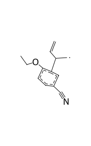 [CH2]C(C=C)c1cc(C#N)ccc1OCC